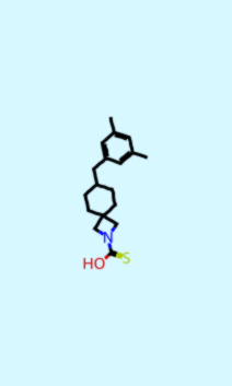 Cc1cc(C)cc(CC2CCC3(CC2)CN(C(O)=S)C3)c1